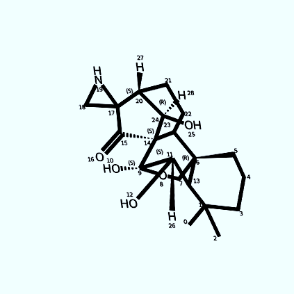 CC1(C)CCC[C@]23CO[C@](O)([C@@H](O)C12)[C@]12C(=O)C4(CN4)[C@H](CCC31)[C@H]2O